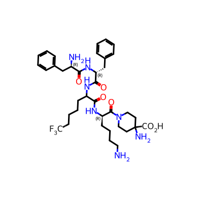 NCCCC[C@@H](NC(=O)C(CCCCC(F)(F)F)NC(=O)[C@@H](Cc1ccccc1)NC(=O)[C@H](N)Cc1ccccc1)C(=O)N1CCC(N)(C(=O)O)CC1